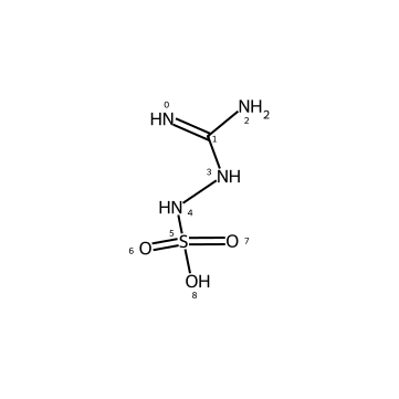 N=C(N)NNS(=O)(=O)O